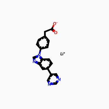 O=C([O-])Cc1ccc(-n2cnc3cc(-c4cncnc4)ccc32)cc1.[Li+]